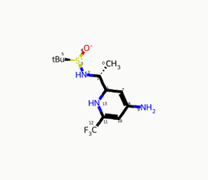 C[C@@H](N[S@+]([O-])C(C)(C)C)C1C=C(N)C=C(C(F)(F)F)N1